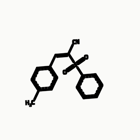 Cc1ccc(C=C(C#N)S(=O)(=O)c2ccccc2)cc1